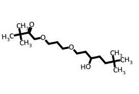 CC(C)(C)CCC(O)CCOCCCOCC(=O)C(C)(C)C